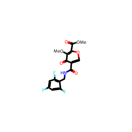 COC(=O)c1occ(C(=O)NCc2c(F)cc(F)cc2F)c(=O)c1OC